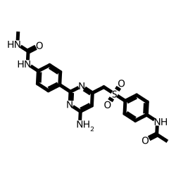 CNC(=O)Nc1ccc(-c2nc(N)cc(CS(=O)(=O)c3ccc(NC(C)=O)cc3)n2)cc1